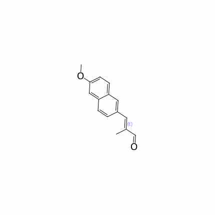 COc1ccc2cc(/C=C(\C)C=O)ccc2c1